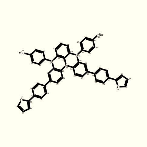 CC(C)(C)c1ccc(B2c3cc(-c4ccc(-c5ccco5)cc4)ccc3N3c4ccc(-c5ccc(-c6ccco6)cc5)cc4B(c4ccc(C(C)(C)C)cc4)c4cccc2c43)cc1